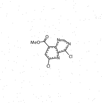 COC(=O)c1cc(Cl)nc2c(Cl)ncnc12